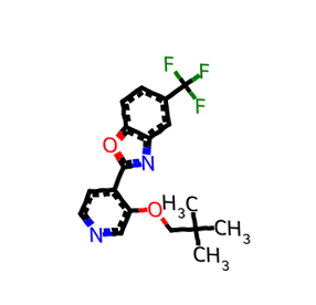 CC(C)(C)COc1cnccc1-c1nc2cc(C(F)(F)F)ccc2o1